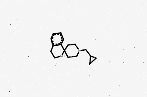 c1ccc2c(c1)CCNC21CCN(CC2CC2)CC1